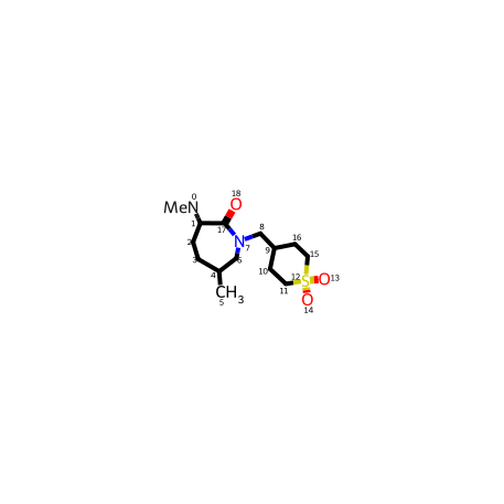 CNC1CCC(C)CN(CC2CCS(=O)(=O)CC2)C1=O